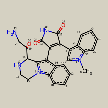 Cn1cc(C2=C(c3c4n(c5ccccc35)CCNC4C(=O)CN)C(=O)NC2=O)c2ccccc21